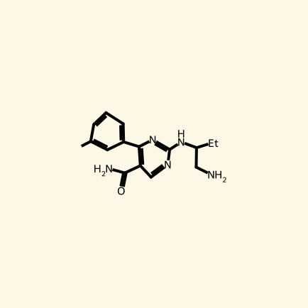 CCC(CN)Nc1ncc(C(N)=O)c(-c2cccc(C)c2)n1